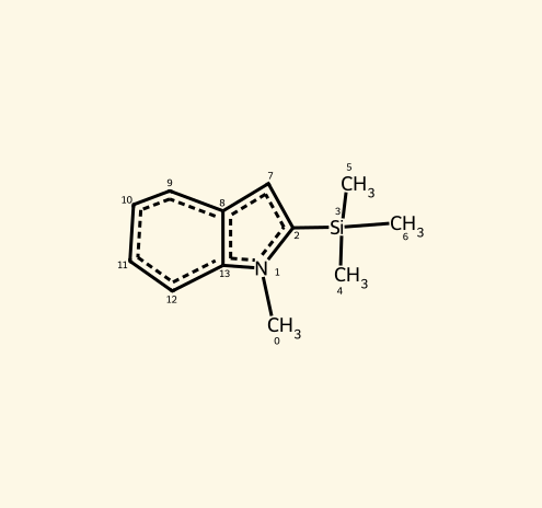 Cn1c([Si](C)(C)C)cc2ccccc21